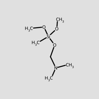 CO[Si](C)(OC)OCN(C)C